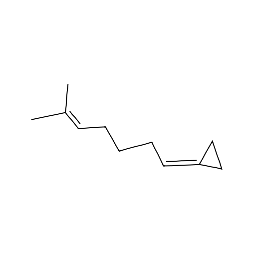 CC(C)=CCCCC=C1CC1